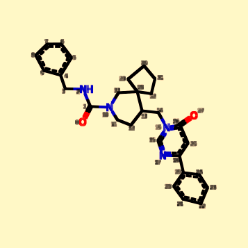 O=C(NCc1ccccc1)N1CCC(Cn2cnc(-c3ccccc3)cc2=O)C2(CCCC2)C1